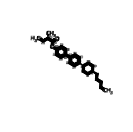 CCCCC[C@H]1CC[C@H](c2ccc(-c3ccc(OC(=O)[C@@H](C)CC)cc3)cc2)CC1